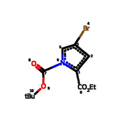 CCOC(=O)c1cc(Br)cn1C(=O)OC(C)(C)C